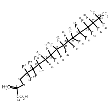 C=C(CCC(F)(F)C(F)(F)C(F)(F)C(F)(F)C(F)(F)C(F)(F)C(F)(F)C(F)(F)C(F)(F)C(F)(F)C(F)(F)C(F)(F)C(F)(F)C(F)(F)F)C(=O)O